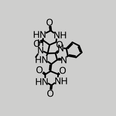 CNC1(C2C(=O)NC(=O)NC2=O)NC(=C2C(=O)NC(=O)NC2=O)c2nc3ccccc3nc21